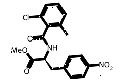 COC(=O)[C@H](Cc1ccc([N+](=O)[O-])cc1)NC(=O)c1c(C)cccc1Cl